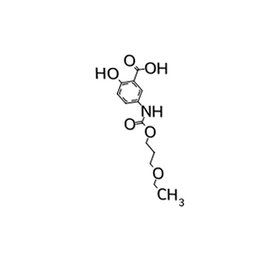 CCOCCCOC(=O)Nc1ccc(O)c(C(=O)O)c1